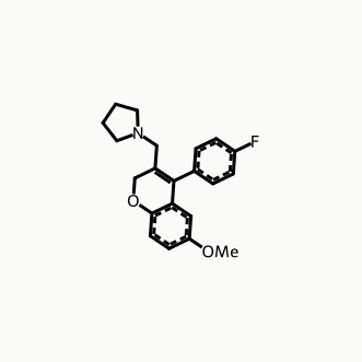 COc1ccc2c(c1)C(c1ccc(F)cc1)=C(CN1CCCC1)CO2